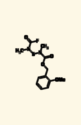 COc1ccccc1COC(=O)N(C)SN(C)C(=O)F